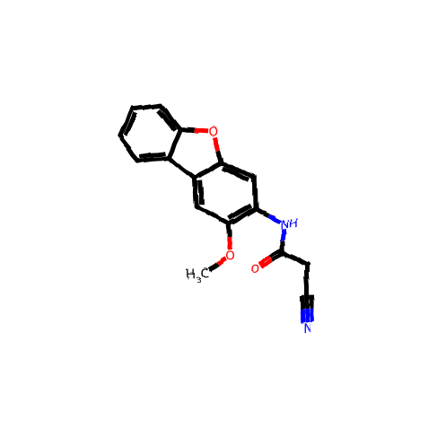 COc1cc2c(cc1NC(=O)CC#N)oc1ccccc12